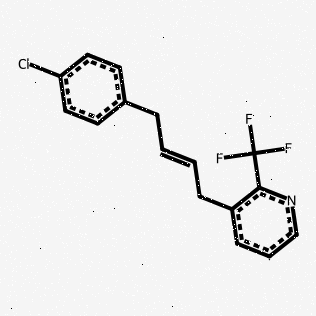 FC(F)(F)c1nc[c]cc1CC=CCc1ccc(Cl)cc1